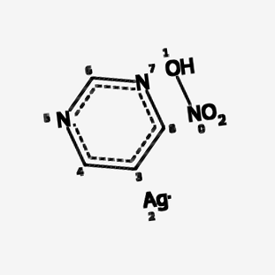 O=[N+]([O-])O.[Ag].c1cncnc1